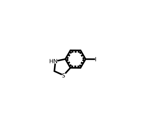 Ic1ccc2c(c1)SCN2